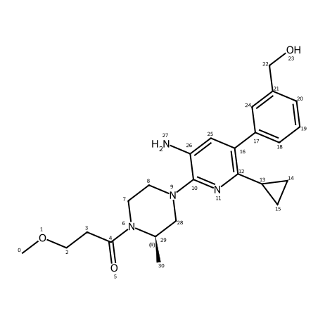 COCCC(=O)N1CCN(c2nc(C3CC3)c(-c3cccc(CO)c3)cc2N)C[C@H]1C